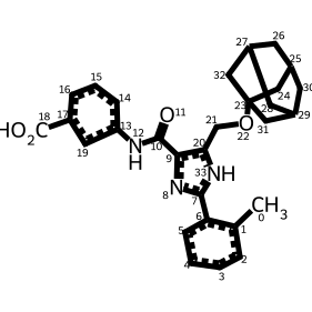 Cc1ccccc1-c1nc(C(=O)Nc2cccc(C(=O)O)c2)c(COC23CC4CC(CC(C4)C2)C3)[nH]1